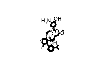 COCCCC[C@](O)(c1ccnc(Cl)c1-c1cccc(C(C)C)c1)[C@H]1CN(C(=O)[C@H]2C[C@@H](N)[C@@H](O)C2)CCO1